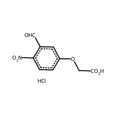 Cl.O=Cc1cc(OCC(=O)O)ccc1[N+](=O)[O-]